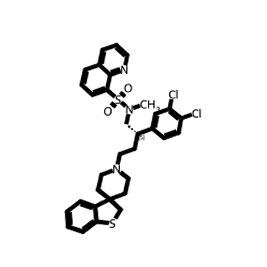 CN(C[C@@H](CCN1CCC2(CC1)CSc1ccccc12)c1ccc(Cl)c(Cl)c1)S(=O)(=O)c1cccc2cccnc12